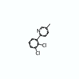 Cc1ccc(-c2cccc(Cl)c2Cl)nc1